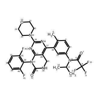 Cc1ccc(N(C(=O)C(F)(F)F)C(C)C)cc1-c1nc(N2CCOCC2)nc2c1CNC(=O)N2c1c(F)cccc1F